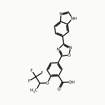 CC(Oc1ccc(-c2nc(-c3ccc4nc[nH]c4c3)no2)cc1C(=O)O)C(F)(F)F